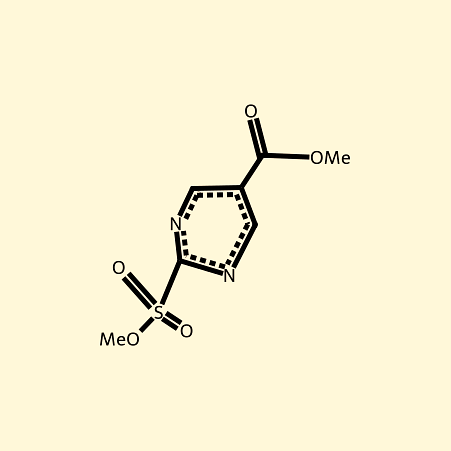 COC(=O)c1cnc(S(=O)(=O)OC)nc1